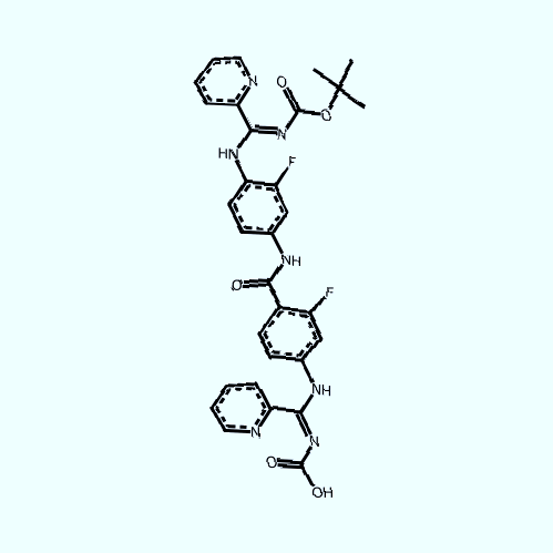 CC(C)(C)OC(=O)/N=C(/Nc1ccc(NC(=O)c2ccc(N/C(=N/C(=O)O)c3ccccn3)cc2F)cc1F)c1ccccn1